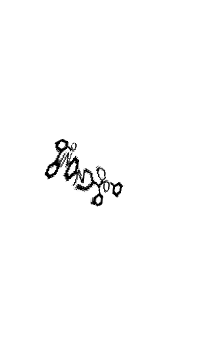 O=C(Nc1ccc(N2CCC(C(C(=O)OCc3ccccc3)c3ccccc3)CC2)cc1)c1ccccc1-c1ccccc1